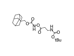 CC(C)(C)OC(=O)NCCC(=O)ONC(=O)OCC12CC3CC(CC(C3)C1)C2